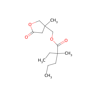 CCCC(C)(CC)C(=O)OCC1(C)COC(=O)C1